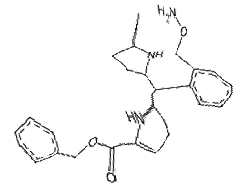 CC1CCC(C(c2ccccc2CON)C2CC=C(C(=O)OCc3ccccc3)N2)N1